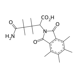 Cc1c(C)c(C)c2c(c1C)C(=O)N(C(C(=O)O)C(C)(C)C(C)(C)C(N)=O)C2=O